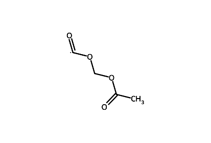 CC(=O)OCO[C]=O